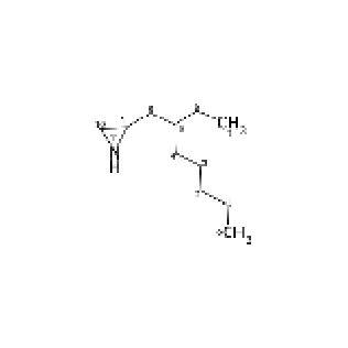 CCCCCC(CC)CC1CN1